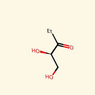 CCC(=O)[C@H](O)CO